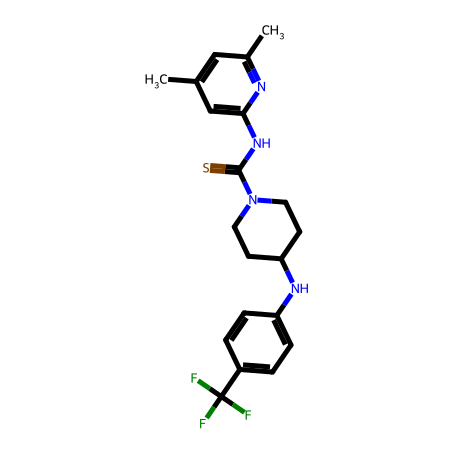 Cc1cc(C)nc(NC(=S)N2CCC(Nc3ccc(C(F)(F)F)cc3)CC2)c1